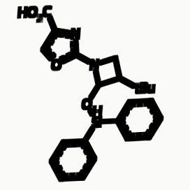 CC(C)(C)C1CN(c2nc(C(=O)O)co2)C1O[SiH](c1ccccc1)c1ccccc1